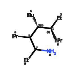 CCC[C@H](CC)[C@@H](C(C)CC)C(C(C)C)C(N)CC